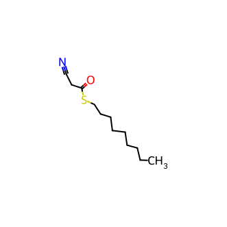 CCCCCCCCCSC(=O)CC#N